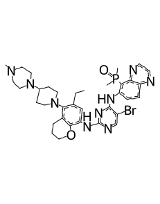 CCc1cc(Nc2ncc(Br)c(Nc3ccc4nccnc4c3P(C)(C)=O)n2)c2c(c1N1CCC(N3CCN(C)CC3)CC1)CCCO2